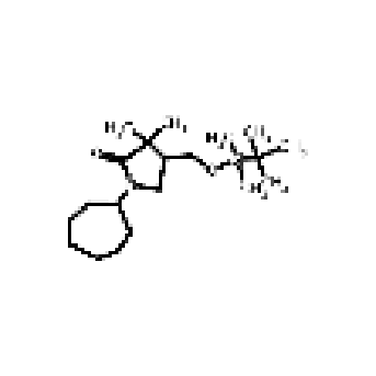 CC1(C)C(=O)N(C2CCCCCC2)CC1CO[Si](C)(C)C(C)(C)C